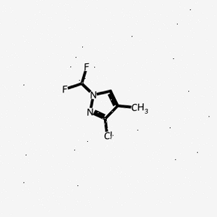 Cc1cn(C(F)F)nc1Cl